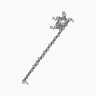 CCCCCCCCCCOCCOCCOCCOCCOCCOCCOCCOCCOCCOCCOCCOCCOCCOCC(CC)OCC(CC)OCC(CC)OCC(CC)OCC(CC)OCC(O)CC